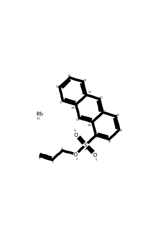 C=CCOS(=O)(=O)c1cccc2cc3ccccc3cc12.[Rb]